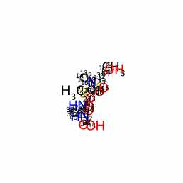 CCCCC1(CCCO)CN(c2ccccc2)c2cc(SC)c(OCC(=O)NC(C(=O)NCC(=O)O)c3ccccc3)cc2S(=O)(=O)C1